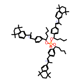 CCCCC(OP(=O)(OC(CCCC)c1ccc(/C=C(\C)c2ccc3c(c2)C(C)(C)CCC3(C)C)cc1)OC(CCCC)c1ccc(/C=C(\C)c2ccc3c(c2)C(C)(C)CCC3(C)C)cc1)c1ccc(/C=C(\C)c2ccc3c(c2)C(C)(C)CCC3(C)C)cc1